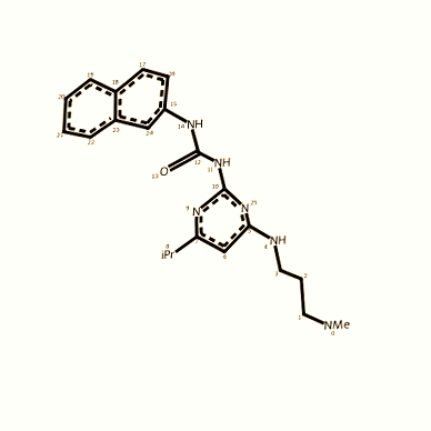 CNCCCNc1cc(C(C)C)nc(NC(=O)Nc2ccc3ccccc3c2)n1